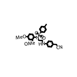 COc1ccc(N(CC(=O)Nc2ccc(CC#N)cc2)S(=O)(=O)c2ccc(C)cc2)c(OC)c1